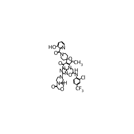 C[C@H]1OC2(CCN(C(=O)c3ncccc3O)CC2)c2c1n(CC(=O)Nc1ccc(C(F)(F)F)cc1Cl)c1nc(N3CCN4C(=O)COC[C@H]4C3)nn1c2=O